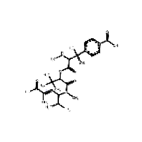 CNC(C(=O)NC(C(=O)N(C)C(/C=C(\C)C(=O)O)C(C)C)C(C)(C)C)C(C)(C)c1ccc(C(=O)O)cc1